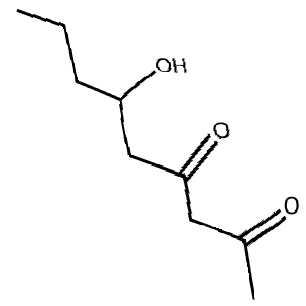 CCCC(O)CC(=O)CC(C)=O